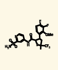 COc1c(C2CC(C)(C(F)(F)F)SC2C(=O)Nc2ccnc(S(N)(=O)=O)c2)ccc(F)c1F